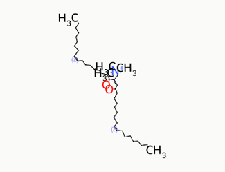 CCCCCCCC/C=C\CCCCCCCC(=O)C=C(C[N+](C)(C)C)C(=O)CCCCCCC/C=C\CCCCCCCC